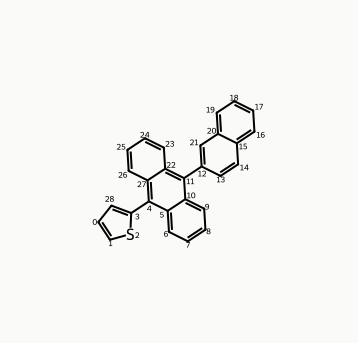 c1csc(-c2c3ccccc3c(-c3ccc4ccccc4c3)c3ccccc23)c1